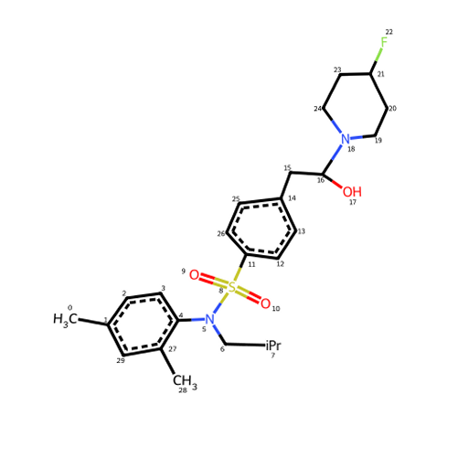 Cc1ccc(N(CC(C)C)S(=O)(=O)c2ccc(CC(O)N3CCC(F)CC3)cc2)c(C)c1